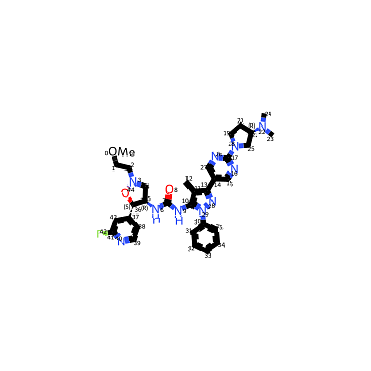 COCCN1C[C@@H](NC(=O)Nc2c(C)c(-c3cnc(N4CC[C@@H](N(C)C)C4)nc3)nn2-c2ccccc2)[C@H](c2ccnc(F)c2)O1